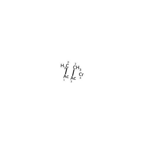 CC(C)=O.CC(C)=O.[Cr]